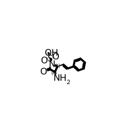 N[C@H]1C(=O)N(S(=O)(=O)O)[C@H]1C=Cc1ccccc1